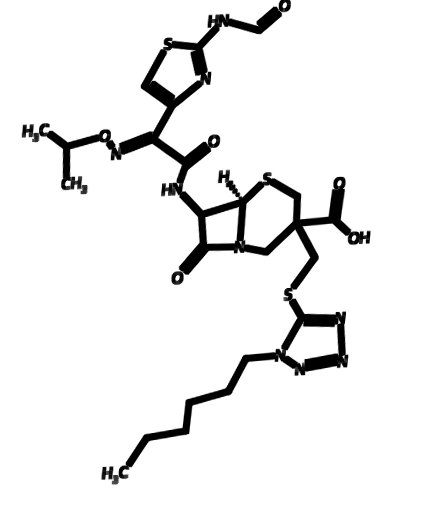 CCCCCCn1nnnc1SCC1(C(=O)O)CS[C@@H]2C(NC(=O)C(=NOC(C)C)c3csc(NC=O)n3)C(=O)N2C1